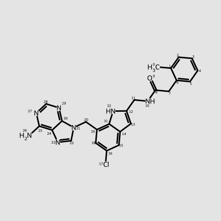 Cc1ccccc1CC(=O)NCc1cc2cc(Cl)cc(Cn3cnc4c(N)ncnc43)c2[nH]1